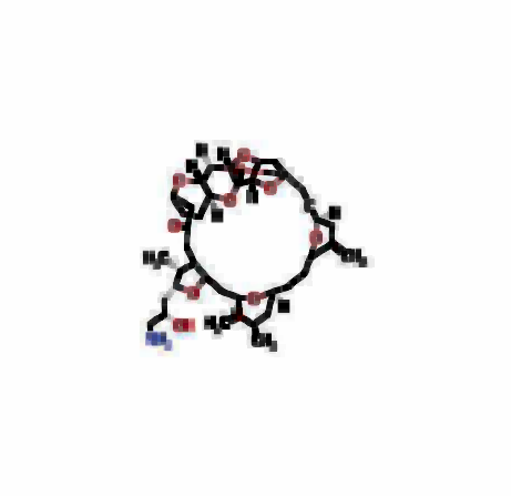 C=C1C[C@@H]2CCC34CC5O[C@H]6[C@@H](O3)[C@H]3OC(CC[C@@H]3O[C@H]6[C@H]5O4)CC(=O)CC3C(C[C@H]4O[C@@H](CCC1O2)C[C@@H](C)C4=C)O[C@H](C[C@H](O)CN)[C@@H]3C